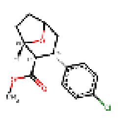 COC(=O)[C@H]1[C@@H]2CCC(C[C@@H]1c1ccc(Cl)cc1)O2